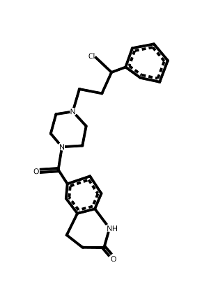 O=C1CCc2cc(C(=O)N3CCN(CCC(Cl)c4ccccc4)CC3)ccc2N1